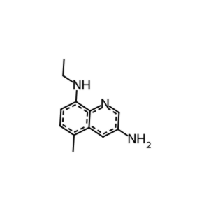 CCNc1ccc(C)c2cc(N)cnc12